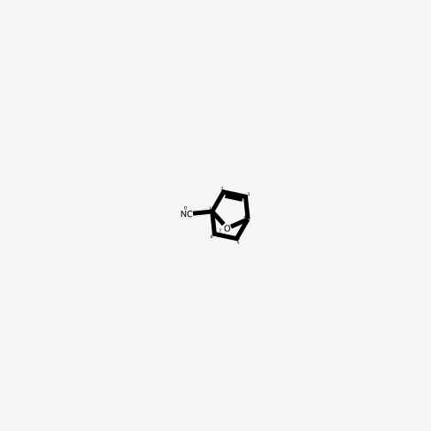 N#CC12C=CC([CH]C1)O2